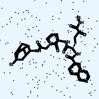 CCNC(=O)C(=O)CC[C@H](NC(=O)c1ccc2cnccc2n1)C(=O)Nc1cccn(CC(=O)NC2C3CC4CC2CC(CC)(C4)C3)c1=O